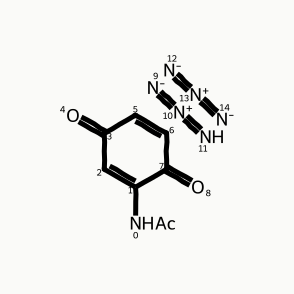 CC(=O)NC1=CC(=O)C=CC1=O.[N-]=[N+]=N.[N-]=[N+]=[N-]